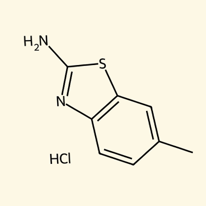 Cc1ccc2nc(N)sc2c1.Cl